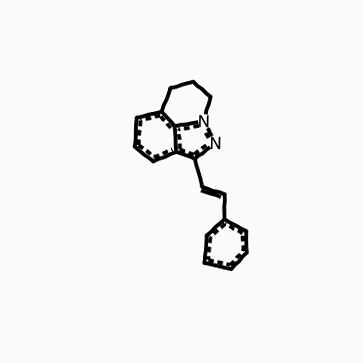 C(=Cc1nn2c3c(cccc13)CCC2)c1ccccc1